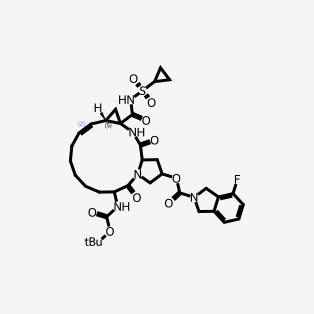 CC(C)(C)OC(=O)NC1CCCCC/C=C\[C@@H]2CC2(C(=O)NS(=O)(=O)C2CC2)NC(=O)C2CC(OC(=O)N3Cc4cccc(F)c4C3)CN2C1=O